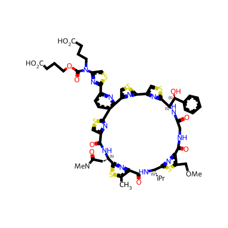 CNC(=O)C[C@@H]1NC(=O)c2csc(n2)-c2ccc(-c3nc(N(CCCC(=O)O)C(=O)OCCCC(=O)O)cs3)nc2-c2csc(n2)-c2csc(n2)[C@H]([C@@H](O)c2ccccc2)NC(=O)CNC(=O)c2nc(sc2COC)[C@H](C(C)C)NC(=O)c2nc1sc2C